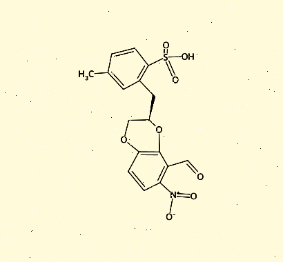 Cc1ccc(S(=O)(=O)O)c(C[C@@H]2COc3ccc([N+](=O)[O-])c(C=O)c3O2)c1